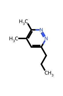 CCCc1cc(C)c(C)nn1